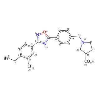 CC(C)Cc1ccc(-c2noc(-c3ccc(CN4CCC(C(=O)O)C4)cc3)n2)cc1C(F)(F)F